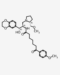 COC[C@H]1CCCN1C[C@@H](NC(=O)CCCCCC(=O)c1ccc(OC)cc1)[C@H](O)c1ccc2c(c1)OCCO2